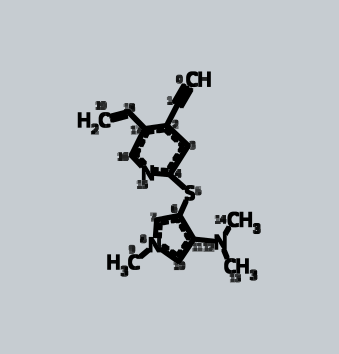 C#Cc1cc(Sc2cn(C)cc2N(C)C)ncc1C=C